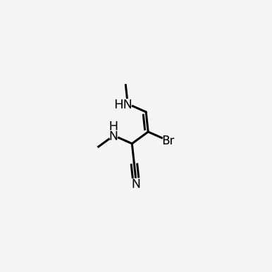 CN/C=C(/Br)C(C#N)NC